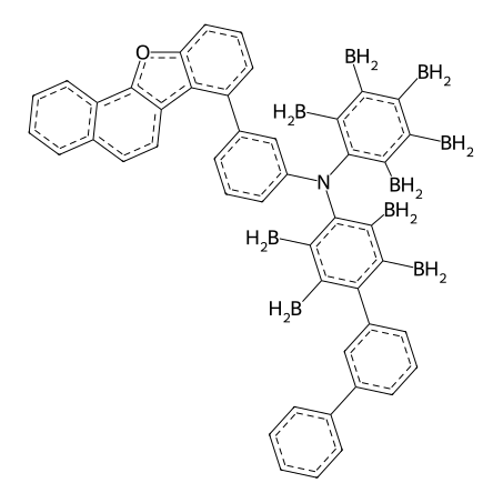 Bc1c(B)c(B)c(N(c2cccc(-c3cccc4oc5c6ccccc6ccc5c34)c2)c2c(B)c(B)c(-c3cccc(-c4ccccc4)c3)c(B)c2B)c(B)c1B